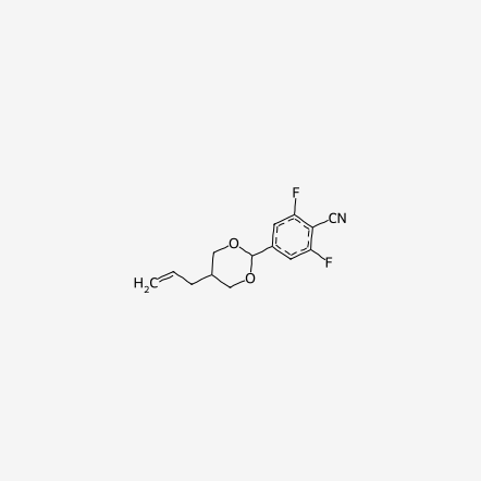 C=CCC1COC(c2cc(F)c(C#N)c(F)c2)OC1